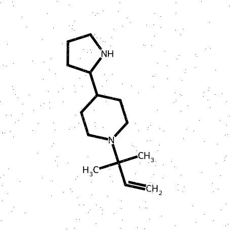 C=CC(C)(C)N1CCC(C2CCCN2)CC1